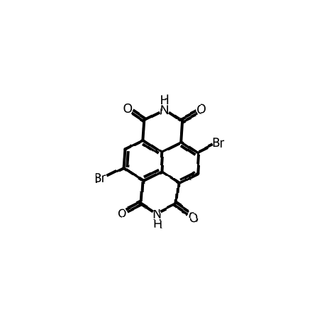 O=C1NC(=O)c2c(Br)cc3c4c(c(Br)cc1c24)C(=O)NC3=O